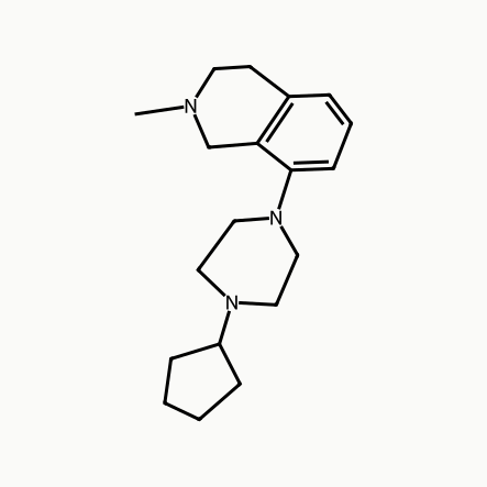 CN1CCc2cccc(N3CCN(C4CCCC4)CC3)c2C1